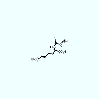 CCOC(=O)C=CCCC(NC(=O)OC(C)(C)C)C(=O)O